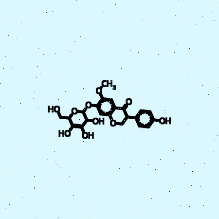 COc1cc2c(cc1OC1OC(CO)C(O)=C(O)C1O)OCC(c1ccc(O)cc1)C2=O